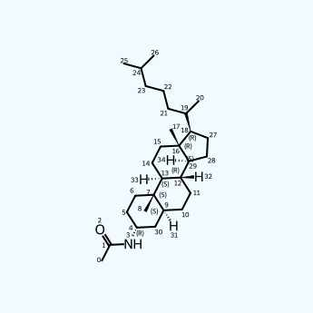 CC(=O)N[C@@H]1CC[C@@]2(C)[C@@H](CC[C@@H]3[C@@H]2CC[C@]2(C)[C@@H](C(C)CCCC(C)C)CC[C@@H]32)C1